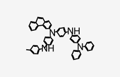 Cc1ccc(Nc2ccc(N(c3ccc(Nc4ccc(N(c5ccccc5)c5ccccc5)cc4)cc3)c3ccc4ccc5ccccc5c4c3)cc2)cc1